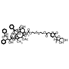 CC(=O)O[C@H]1C(=O)[C@]2(C)[C@@H](OC(=O)OCCSSCCOC(=O)Cc3ccn(C4OC(CO)C(O)C4(F)F)c(=O)n3)C[C@H]3OC[C@@]3(OC(C)=O)[C@H]2[C@H](OC(=O)c2ccccc2)[C@]2(O)CC(OC(=O)[C@H](O)[C@@H](NC(=O)c3ccccc3)c3ccccc3)C(C)=C1C2(C)C